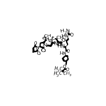 COCC1C[C@H](N2C(=O)C=CC2=O)C(=O)N1CC(=O)N[C@H](C(=O)N[C@@H](CCCNC(N)=O)C(=O)Nc1ccc(COC(=O)C(C)(C)C)cc1)C(C)C